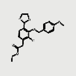 CCOC(=O)Cc1ccc(C2OCCO2)c(OCc2ccc(OC)cc2)c1Cl